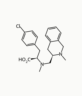 CN1Cc2ccccc2C[C@@H]1CN(C)[C@H](Cc1ccc(Cl)cc1)C(=O)O